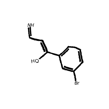 N=C/C=C(\O)c1cccc(Br)c1